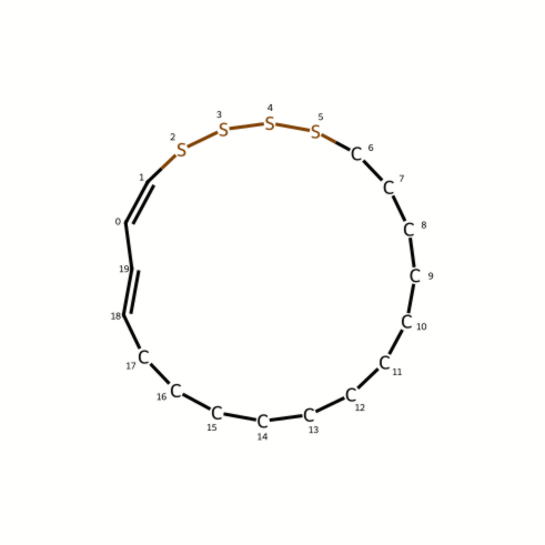 C1=C\SSSSCCCCCCCCCCCC/C=C/1